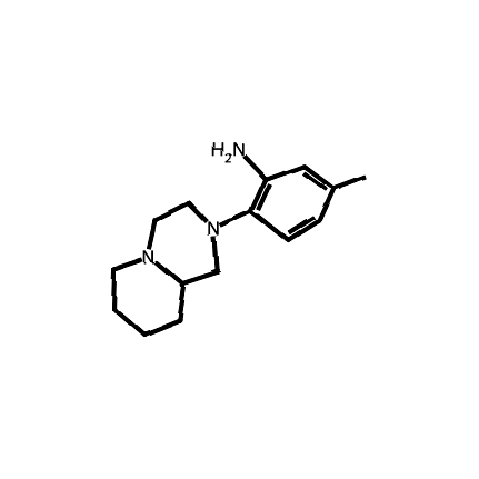 Cc1ccc(N2CCN3CCCCC3C2)c(N)c1